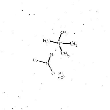 CCN(CC)CC.C[N+](C)(C)C.O.[OH-]